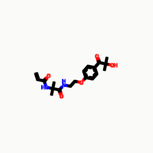 C=CC(=O)NC(C)(C)C(=O)NCCOc1ccc(C(=O)C(C)(C)O)cc1